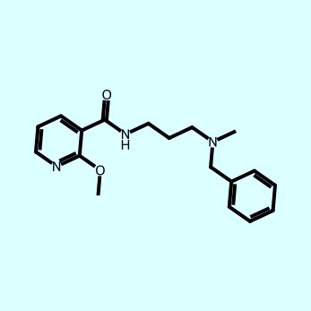 COc1ncccc1C(=O)NCCCN(C)Cc1ccccc1